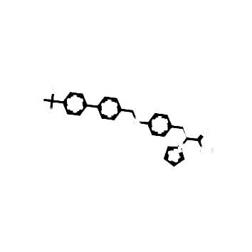 O=C(O)[C@H](Cc1ccc(OCc2ccc(-c3ccc(C(F)(F)F)cc3)cc2)cc1)n1cccc1